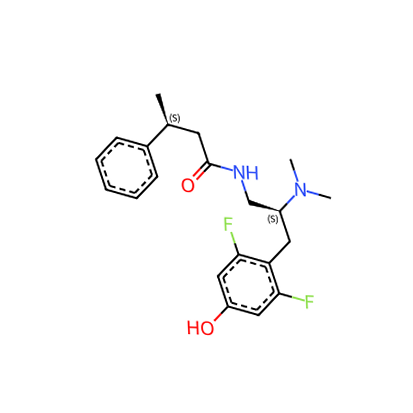 C[C@@H](CC(=O)NC[C@H](Cc1c(F)cc(O)cc1F)N(C)C)c1ccccc1